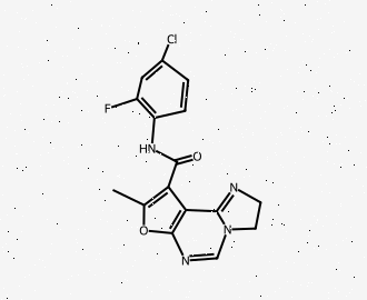 Cc1oc2c(c1C(=O)Nc1ccc(Cl)cc1F)C1=NCCN1C=N2